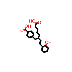 O=C(O)CCCCC(/C=C/c1ccccc1O)Cc1ccc(C(=O)O)cc1